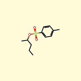 CCCC(C)OS(=O)(=O)c1ccc(C)cc1